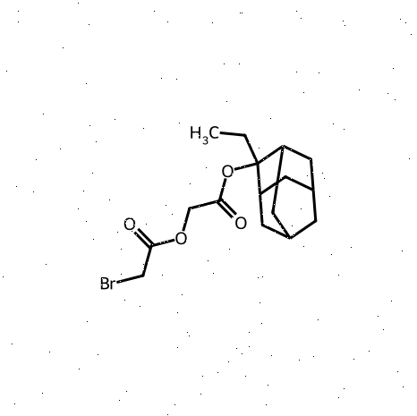 CCC1(OC(=O)COC(=O)CBr)C2CC3CC(C2)CC1C3